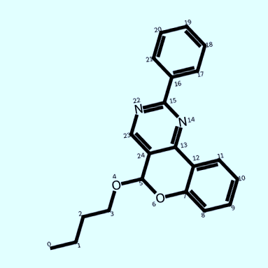 CCCCOC1Oc2ccccc2-c2nc(-c3ccccc3)ncc21